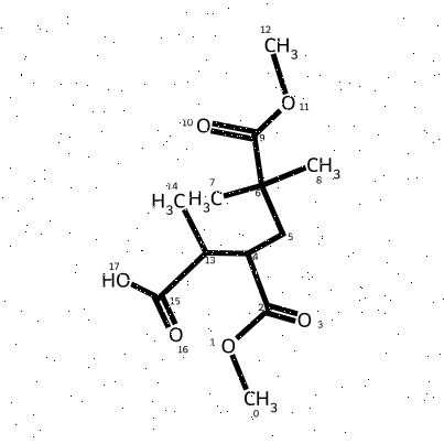 COC(=O)C(CC(C)(C)C(=O)OC)C(C)C(=O)O